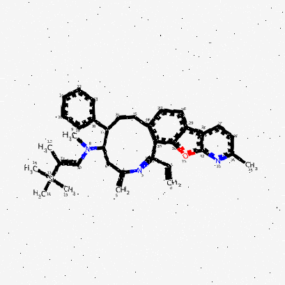 C=C/C1=N/C(=C)CC(N(C)/C=C(\C)[Si](C)(C)C)C(c2ccccc2)CCc2ccc3c(oc4nc(C)ccc43)c21